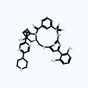 Cc1cccc(C)c1-c1cc2nc(n1)NS(=O)(=O)c1cccc(c1)C(=O)N(C13CC(C1)C3c1cnc(C3CCOCC3)cn1)[C@H](CC(C)C)CO2